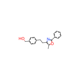 Cc1oc(-c2ccccc2)nc1CCc1ccc(CO)cc1